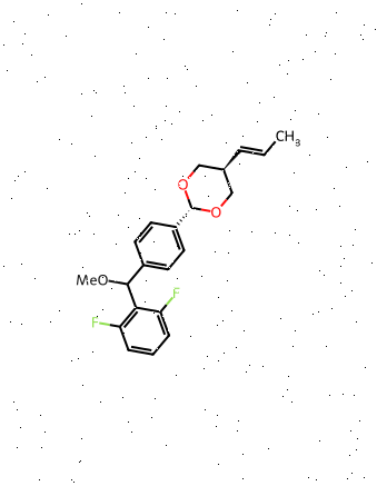 C/C=C/[C@H]1CO[C@H](c2ccc(C(OC)c3c(F)cccc3F)cc2)OC1